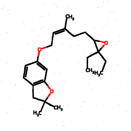 CCC1(CC)OC1CCC(C)=CCOc1ccc2c(c1)OC(C)(C)C2